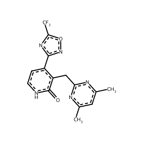 Cc1cc(C)nc(Cc2c(-c3noc(C(F)(F)F)n3)cc[nH]c2=O)n1